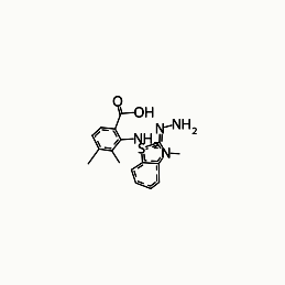 Cc1ccc(C(=O)O)c(N)c1C.Cn1c(=NN)sc2ccccc21